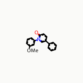 COc1cccc(-n2cc(-c3ccccc3)ccc2=O)c1